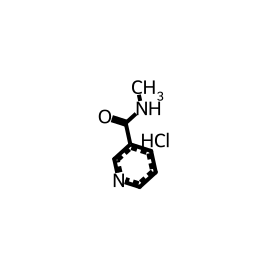 CNC(=O)c1cccnc1.Cl